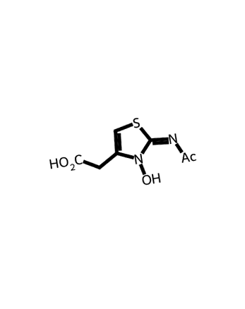 CC(=O)/N=c1/scc(CC(=O)O)n1O